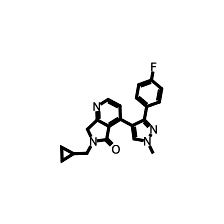 Cn1cc(-c2ccnc3c2C(=O)N(CC2CC2)C3)c(-c2ccc(F)cc2)n1